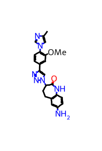 COc1cc(-c2cn(C3CCc4cc(N)ccc4NC3=O)nn2)ccc1-n1cnc(C)c1